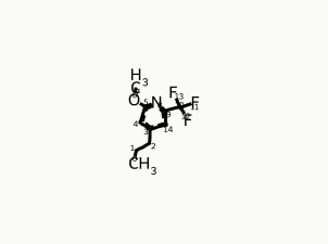 CCCc1cc(OC)nc(C(F)(F)F)c1